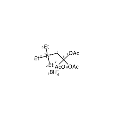 CC[N+](CC)(CC)CC(OC(C)=O)(OC(C)=O)OC(C)=O.[BH4-]